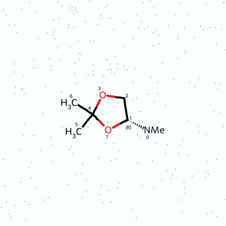 CN[C@H]1COC(C)(C)O1